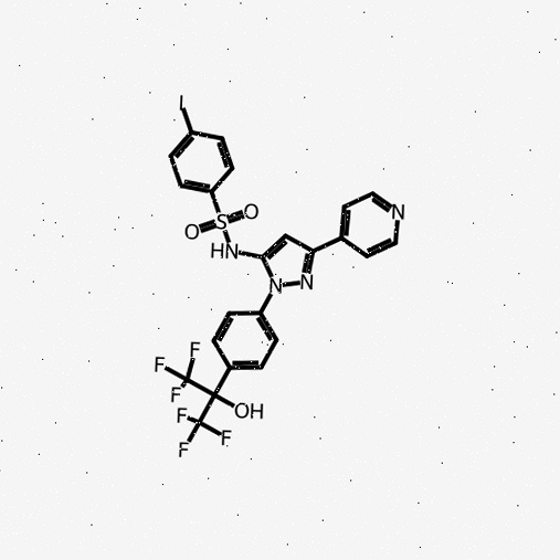 O=S(=O)(Nc1cc(-c2ccncc2)nn1-c1ccc(C(O)(C(F)(F)F)C(F)(F)F)cc1)c1ccc(I)cc1